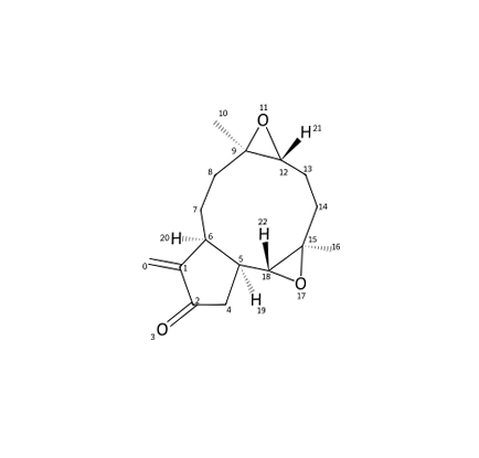 C=C1C(=O)C[C@H]2[C@@H]1CC[C@@]1(C)O[C@@H]1CC[C@@]1(C)O[C@H]21